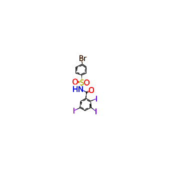 O=C(NS(=O)(=O)c1ccc(Br)cc1)c1cc(I)cc(I)c1I